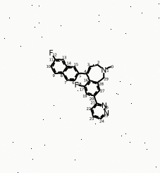 CN1CC=C(c2ccc3ccc(F)cc3c2)c2c(F)cc(-c3cccnn3)cc2C1